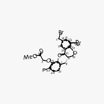 COC(=O)COc1cc(C[C@H]2COc3c(Br)cc(CBr)cc3C2=O)ccc1F